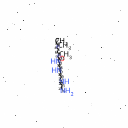 CC/C(C)=C/CC/C(C)=C/C(=O)NCCCNCCCCNCCCN